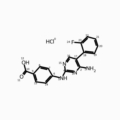 Cl.Nc1nc(Nc2ccc(C(=O)O)cc2)ncc1-c1ccccc1F